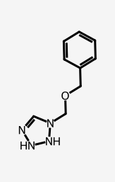 C1=NNNN1COCc1ccccc1